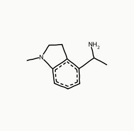 CC(N)c1cccc2c1CCN2C